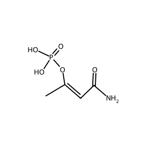 CC(=CC(N)=O)OP(=O)(O)O